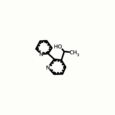 CC(O)c1cccnc1-c1ccccn1